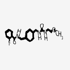 COCCNC(=O)NCC1CCC(CNC(=O)c2ccccc2F)CC1